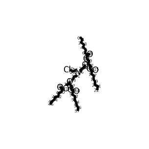 CCCCCCCC(=O)OCC(COC(=O)CCCCCCC)OCCCN(CCCl)CCCOC(COC(=O)CCCCCCC)COC(=O)CCCCCCC